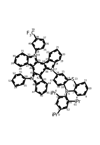 CC(C)c1cc(C(C)C)c(B2c3ccccc3Sc3cc(-n4c5ccccc5c5c6c(c7ccccc7n6-c6cccc(C(F)(F)F)c6)c6c(c7ccccc7n6-c6ccccc6)c54)ccc32)c(C(C)C)c1